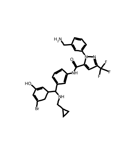 NCc1cccc(-n2nc(C(F)(F)F)cc2C(=O)Nc2cccc(C(NCC3CC3)C3C=C(O)C=C(Br)C3)c2)c1